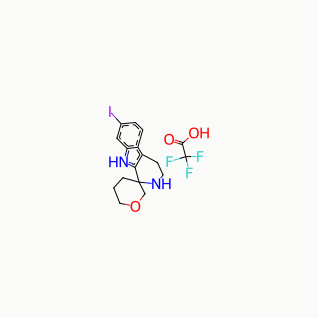 Ic1ccc2c3c([nH]c2c1)C1(CCCOC1)NCC3.O=C(O)C(F)(F)F